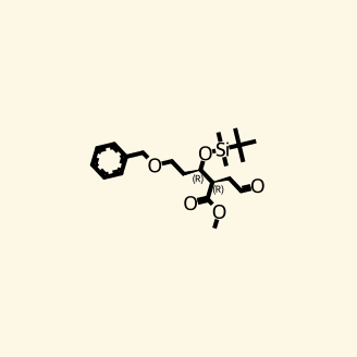 COC(=O)[C@H](CC=O)[C@@H](CCOCc1ccccc1)O[Si](C)(C)C(C)(C)C